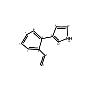 C=Cc1ccccc1-c1cc[nH]c1